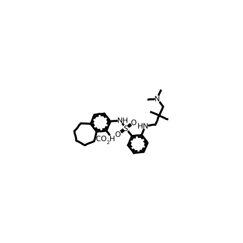 CN(C)CC(C)(C)CNc1ccccc1S(=O)(=O)Nc1ccc2c(c1C(=O)O)CCCCC2